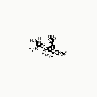 COc1cc(C)[nH]c(=O)c1CNC(=O)c1cc2c(-c3ccc(N)nc3)ccn2c(C(C)N2CCN(CC(F)(F)F)CC2)c1C